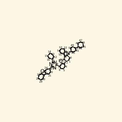 C1=CC2c3cccc(-c4nc(-c5ccccc5)nc(-c5ccc6c(c5)oc5ccccc56)n4)c3OC2c2c1n(-c1ccc(-c3ccccc3)cc1)c1ccccc21